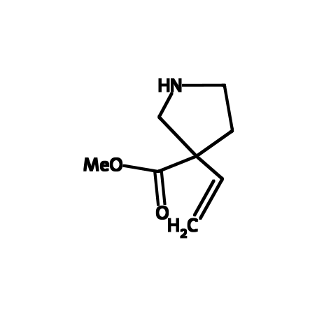 C=CC1(C(=O)OC)CCNC1